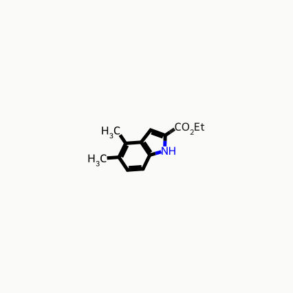 CCOC(=O)c1cc2c(C)c(C)ccc2[nH]1